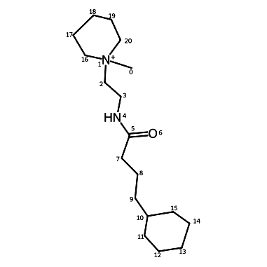 C[N+]1(CCNC(=O)CCCC2CCCCC2)CCCCC1